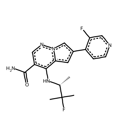 C[C@@H](Nc1c(C(N)=O)cnn2cc(-c3ccncc3F)cc12)C(C)(C)F